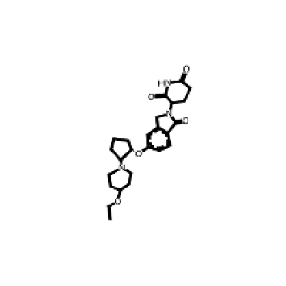 CCOC1CCN([C@H]2CCC[C@@H]2Oc2ccc3c(c2)CN(C2CCC(=O)NC2=O)C3=O)CC1